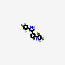 Fc1ccc(-c2cc(-c3ccc(F)c(-c4ncc(F)cc4F)c3)cnn2)c(F)c1